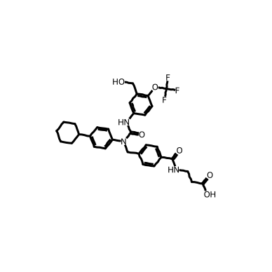 O=C(O)CCNC(=O)c1ccc(CN(C(=O)Nc2ccc(OC(F)(F)F)c(CO)c2)c2ccc(C3CCCCC3)cc2)cc1